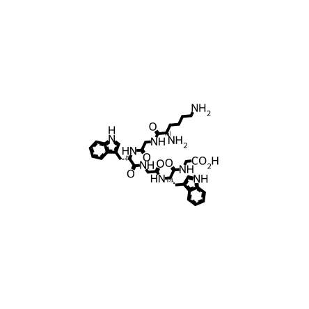 NCCCC[C@H](N)C(=O)NCC(=O)N[C@@H](Cc1c[nH]c2ccccc12)C(=O)NCC(=O)N[C@@H](Cc1c[nH]c2ccccc12)C(=O)NCC(=O)O